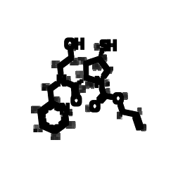 C=CCOC(=O)N1C[C@@H](S)C[C@H]1C(=O)N(CCO)Cc1ccccn1